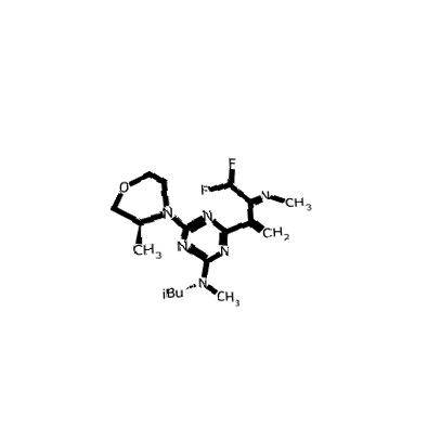 C=C(/C(=N\C)C(F)F)c1nc(N(C)[C@@H](C)CC)nc(N2CCOC[C@@H]2C)n1